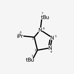 CC(C)C1C(C(C)(C)C)N=NN1C(C)(C)C